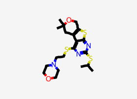 CC(C)Sc1nc(SCCN2CCOCC2)c2c3c(sc2n1)COC(C)(C)C3